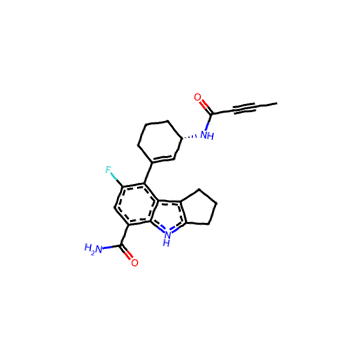 CC#CC(=O)N[C@@H]1C=C(c2c(F)cc(C(N)=O)c3[nH]c4c(c23)CCC4)CCC1